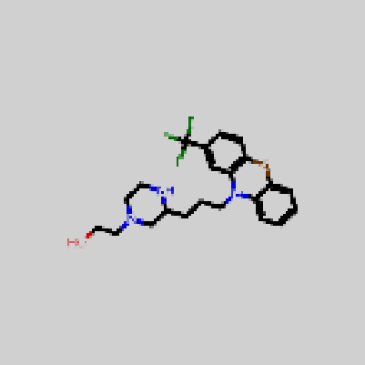 OCCN1CCNC(CCCN2c3ccccc3Sc3ccc(C(F)(F)F)cc32)C1